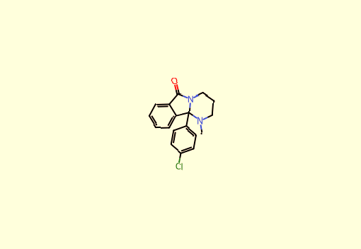 CN1CCCN2C(=O)c3ccccc3C12c1ccc(Cl)cc1